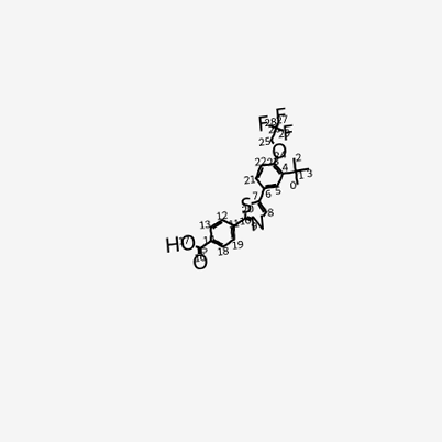 CC(C)(C)c1cc(-c2cnc(-c3ccc(C(=O)O)cc3)s2)ccc1OCC(F)(F)F